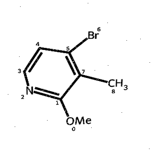 COc1nccc(Br)c1C